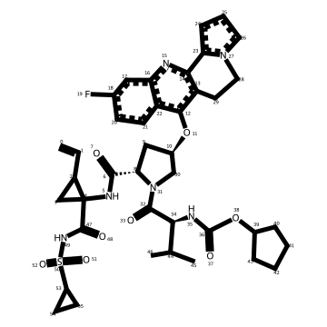 C=CC1CC1(NC(=O)[C@@H]1C[C@@H](Oc2c3c(nc4cc(F)ccc24)-c2cccn2CC3)CN1C(=O)[C@@H](NC(=O)OC1CCCC1)C(C)C)C(=O)NS(=O)(=O)C1CC1